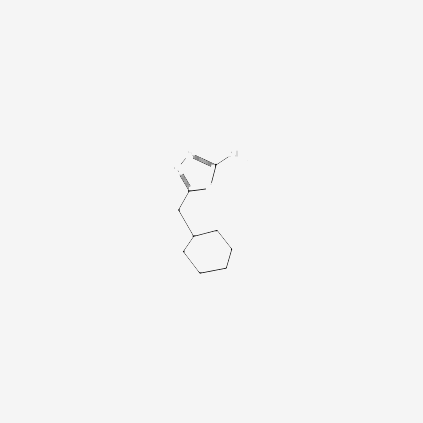 Nc1nnc(CC2CCCCC2)s1